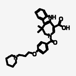 CC1(C)CN(C(=O)c2ccc(OCCCN3CCCCC3)cc2)C=C(C(=O)O)c2[nH]c3ccccc3c21